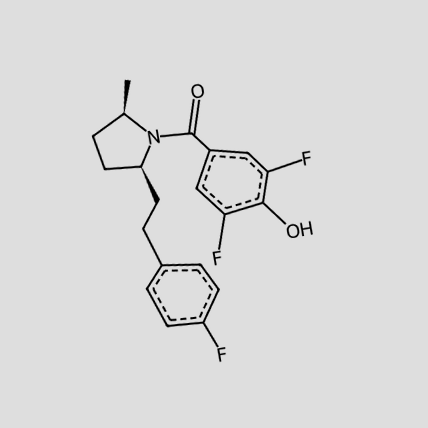 C[C@@H]1CC[C@H](CCc2ccc(F)cc2)N1C(=O)c1cc(F)c(O)c(F)c1